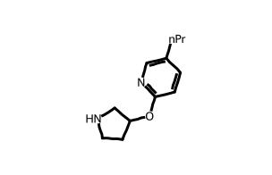 CCCc1ccc(OC2CCNC2)nc1